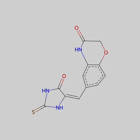 O=C1COc2ccc(C=C3NC(=S)NC3=O)cc2N1